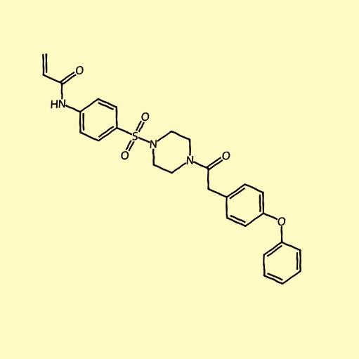 C=CC(=O)Nc1ccc(S(=O)(=O)N2CCN(C(=O)Cc3ccc(Oc4ccccc4)cc3)CC2)cc1